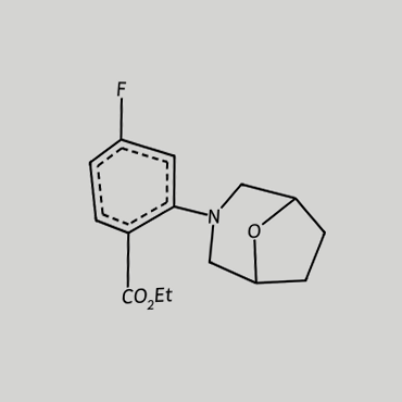 CCOC(=O)c1ccc(F)cc1N1CC2CCC(C1)O2